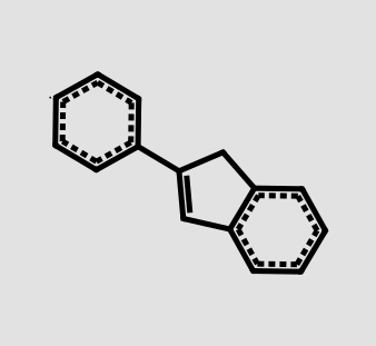 [c]1ccc(C2=Cc3ccccc3C2)cc1